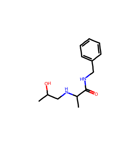 CC(O)CNC(C)C(=O)NCc1ccccc1